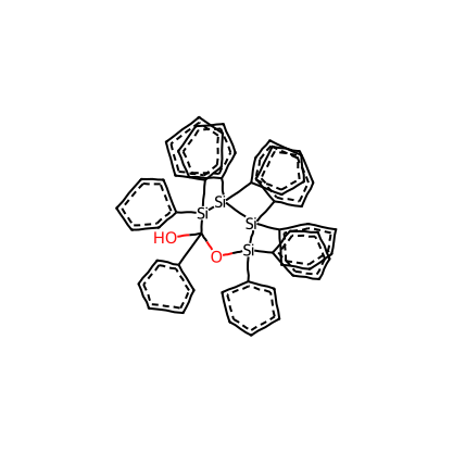 OC1(c2ccccc2)O[Si](c2ccccc2)(c2ccccc2)[Si](c2ccccc2)(c2ccccc2)[Si](c2ccccc2)(c2ccccc2)[Si]1(c1ccccc1)c1ccccc1